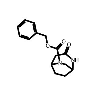 O=C1CC2CCC(CN2C(=O)OCc2ccccc2)N1